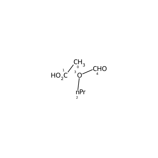 CC(=O)O.CCCOC=O